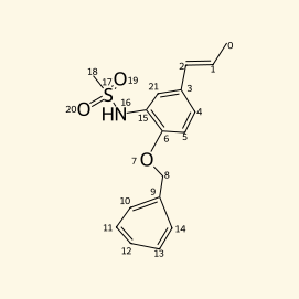 C/C=C/c1ccc(OCc2ccccc2)c(NS(C)(=O)=O)c1